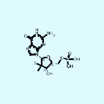 CC1(F)[C@@H](O)[C@@H](COP(=O)(O)O)O[C@H]1n1cnc2c(=O)[nH]c(N)nc21